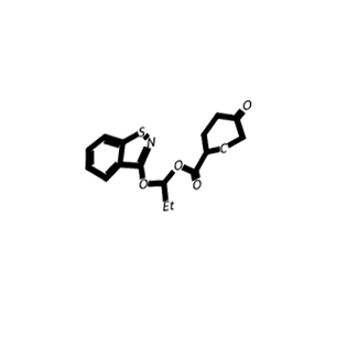 CCC(OC(=O)C1CCC(=O)CC1)Oc1nsc2ccccc12